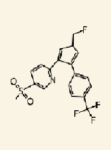 CS(=O)(=O)c1ccc(C2=CC(CF)C=C2c2ccc(C(F)(F)F)cc2)nc1